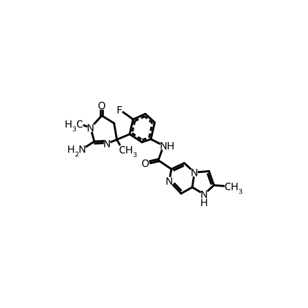 CC1=CN2C=C(C(=O)Nc3ccc(F)c(C4(C)CC(=O)N(C)C(N)=N4)c3)N=CC2N1